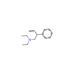 C=CC(CN(CC)CC)c1ccccc1